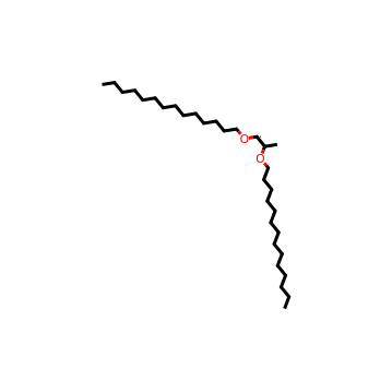 CCCCCCCCCCCCCCO[CH]C(C)OCCCCCCCCCCCCCC